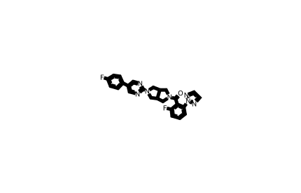 O=C(c1c(F)cccc1-n1nccn1)N1CC2CN(c3ncc(-c4ccc(F)cc4)cn3)CC2C1